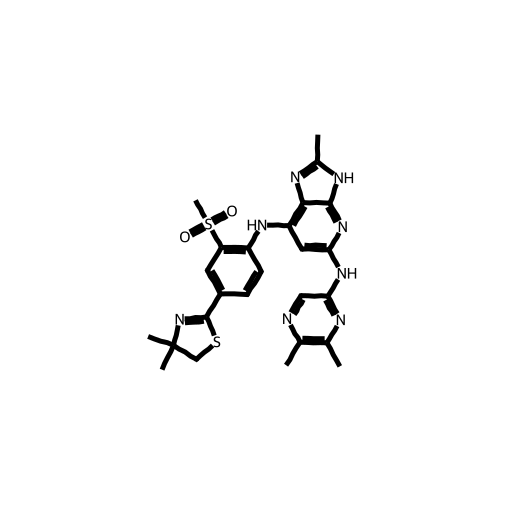 Cc1nc2c(Nc3ccc(C4=NC(C)(C)CS4)cc3S(C)(=O)=O)cc(Nc3cnc(C)c(C)n3)nc2[nH]1